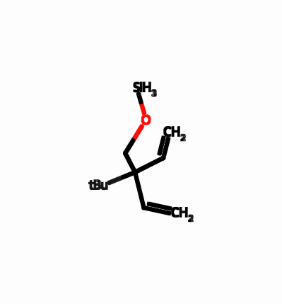 C=CC(C=C)(CO[SiH3])C(C)(C)C